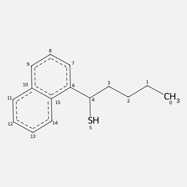 CCCCC(S)c1cccc2ccccc12